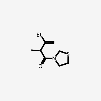 C=C(CC)[C@H](C)C(=O)N1CCSC1